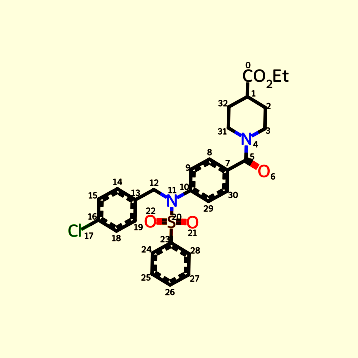 CCOC(=O)C1CCN(C(=O)c2ccc(N(Cc3ccc(Cl)cc3)S(=O)(=O)c3ccccc3)cc2)CC1